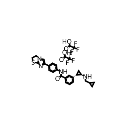 O=C(Nc1ccc(-c2cn3c(n2)SCC3)cc1)c1cccc([C@@H]2C[C@H]2NCC2CC2)c1.O=C(O)C(F)(F)F.O=C(O)C(F)(F)F